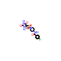 C[C@]1(CS(=O)(=O)N2CCC(NC(=O)c3ccc(F)cc3)CC2)NC(=O)NC1=O